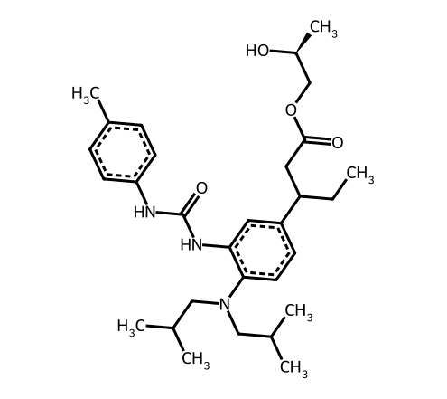 CCC(CC(=O)OC[C@H](C)O)c1ccc(N(CC(C)C)CC(C)C)c(NC(=O)Nc2ccc(C)cc2)c1